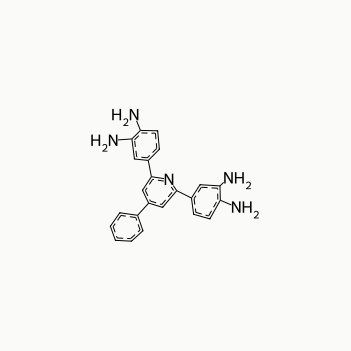 Nc1ccc(-c2cc(-c3ccccc3)cc(-c3ccc(N)c(N)c3)n2)cc1N